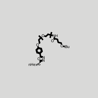 CCCCCCSc1nnc(-c2ccc(OCCC(C)(C)OCCC(C)(C)NC(=O)CCCOC(C)CC)cc2)o1